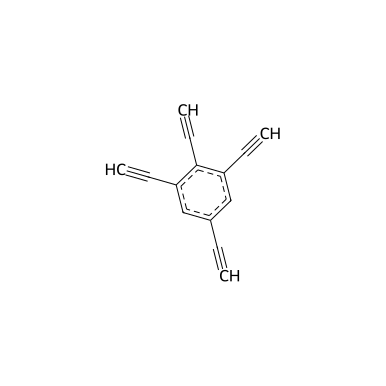 C#Cc1cc(C#C)c(C#C)c(C#C)c1